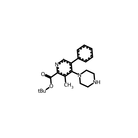 Cc1c(C(=O)OC(C)(C)C)n[c]c(-c2ccccc2)c1N1CCNCC1